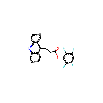 O=C(CCc1c2ccccc2nc2ccccc12)Oc1c(F)c(F)cc(F)c1F